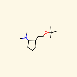 CN(C)C1CCCC1CCOC(C)(C)C